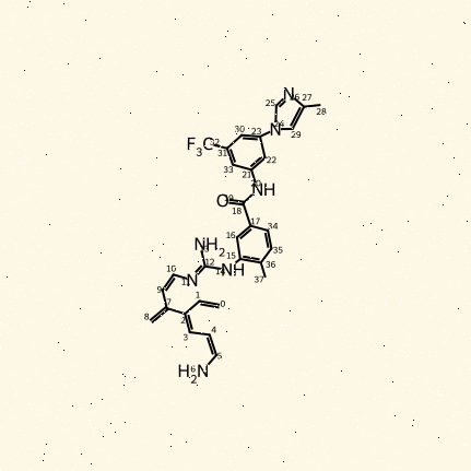 C=C/C(=C\C=C/N)C(=C)/C=C\N=C(/N)Nc1cc(C(=O)Nc2cc(-n3cnc(C)c3)cc(C(F)(F)F)c2)ccc1C